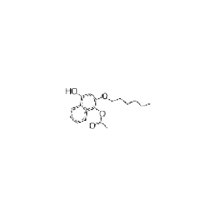 CCCCCCOc1cc(O)c2ccccc2c1OC(C)=O